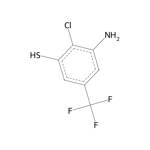 Nc1cc(C(F)(F)F)cc(S)c1Cl